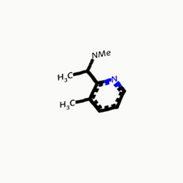 CNC(C)c1ncccc1C